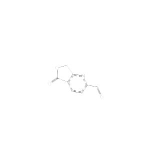 O=Cc1ccc2c(n1)COC2=O